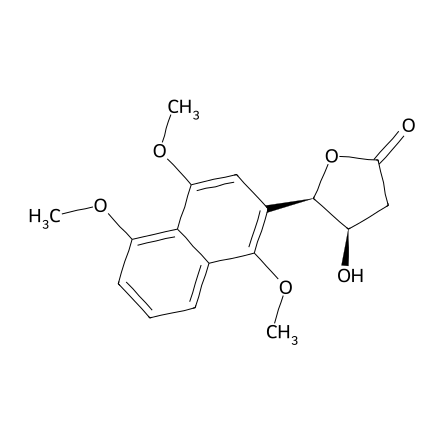 COc1c([C@H]2OC(=O)C[C@H]2O)cc(OC)c2c(OC)cccc12